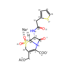 CC(=O)OCC1=C(C(=O)[O-])N2C(=O)[C@@H](NC(=O)Cc3cccs3)[C@@H]2S(=O)(=O)C1.[Na+]